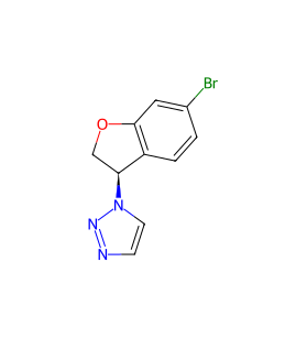 Brc1ccc2c(c1)OC[C@@H]2n1ccnn1